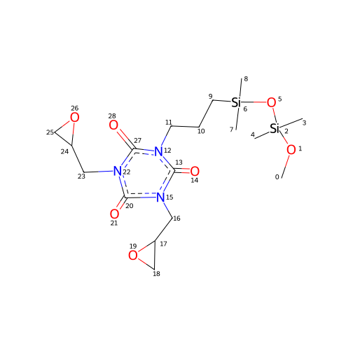 CO[Si](C)(C)O[Si](C)(C)CCCn1c(=O)n(CC2CO2)c(=O)n(CC2CO2)c1=O